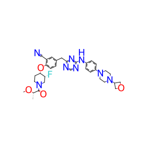 CO[C@@H](C)C(=O)N1CC[C@H](Oc2ccc(Cc3ncnc(Nc4ccc(N5CCN(C6COC6)CC5)cc4)n3)cc2C#N)[C@H](F)C1